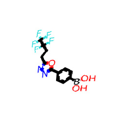 OB(O)c1ccc(-c2nnc(CCC(F)(F)C(F)(F)F)o2)cc1